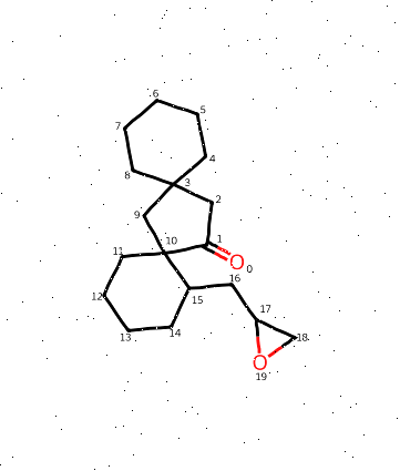 O=C1CC2(CCCCC2)CC12CCCCC2CC1CO1